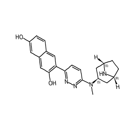 CN(c1ccc(-c2cc3ccc(O)cc3cc2O)nn1)[C@@H]1C[C@H]2CC[C@@H](C1)N2